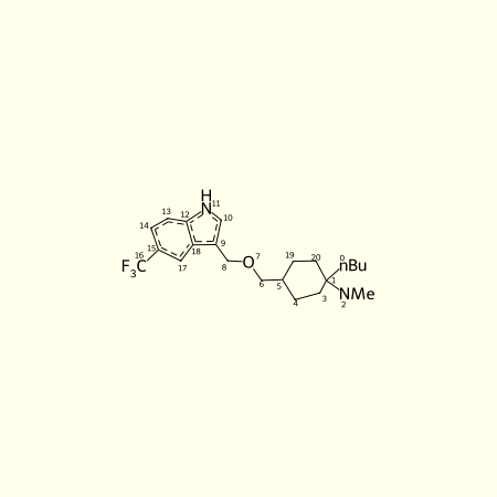 CCCCC1(NC)CCC(COCc2c[nH]c3ccc(C(F)(F)F)cc23)CC1